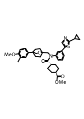 COc1ccc(C23CCC(CN(c4cccc(-c5cnc(C6CC6)s5)c4)C(=O)[C@H]4CC[C@H](C(=O)OC)CC4)(CC2)CC3)cc1C